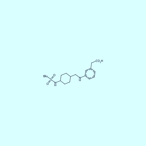 CC(C)(C)S(=O)(=O)NC1CCC(CNc2cccc(CC(=O)O)c2)CC1